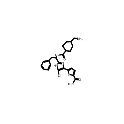 NCC1CCC(C(=O)NC(Cc2ccccc2)c2nc(-c3ccc(C(N)=O)s3)c(Cl)[nH]2)CC1